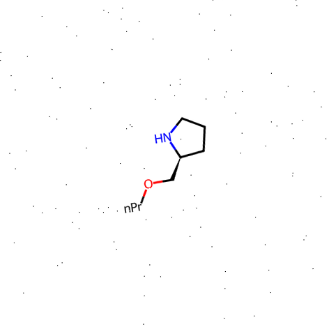 CCCOC[C@@H]1CCCN1